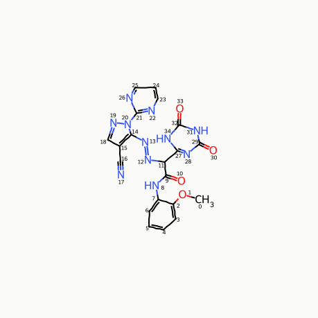 COc1ccccc1NC(=O)C(N=Nc1c(C#N)cnn1-c1ncccn1)c1nc(=O)[nH]c(=O)[nH]1